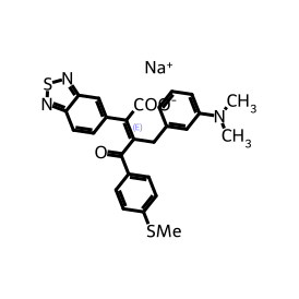 CSc1ccc(C(=O)/C(Cc2cccc(N(C)C)c2)=C(/C(=O)[O-])c2ccc3nsnc3c2)cc1.[Na+]